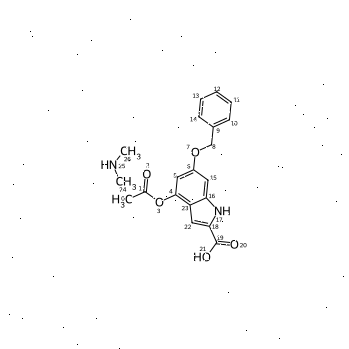 CC(=O)Oc1cc(OCc2ccccc2)cc2[nH]c(C(=O)O)cc12.CNC